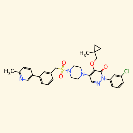 Cc1ccc(-c2cccc(CS(=O)(=O)N3CCN(c4cnn(-c5cccc(Cl)c5)c(=O)c4OCC4(C)CC4)CC3)c2)cn1